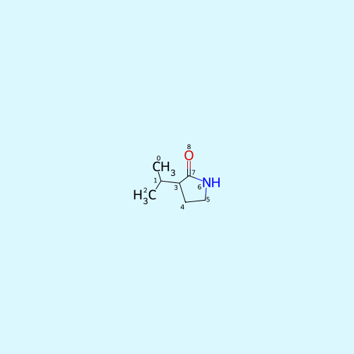 CC(C)C1CCNC1=O